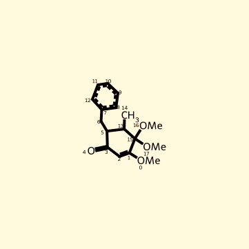 COC1=CC(=O)C(Cc2ccccc2)C(C)C1(OC)OC